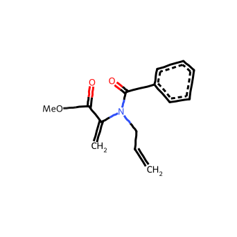 C=CCN(C(=C)C(=O)OC)C(=O)c1ccccc1